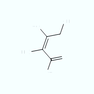 CC/C(O)=C(/C)C(=O)O